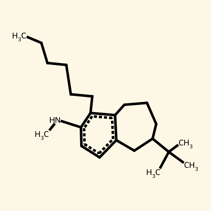 CCCCCCc1c(NC)ccc2c1CCCC(C(C)(C)C)C2